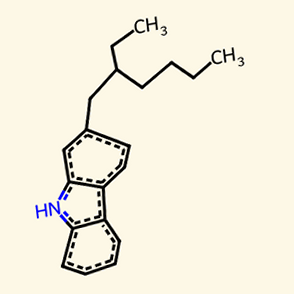 CCCCC(CC)Cc1ccc2c(c1)[nH]c1ccccc12